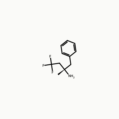 C[C@](N)(Cc1ccccc1)CC(F)(F)F